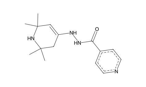 CC1(C)C=C(NNC(=O)c2ccncc2)CC(C)(C)N1